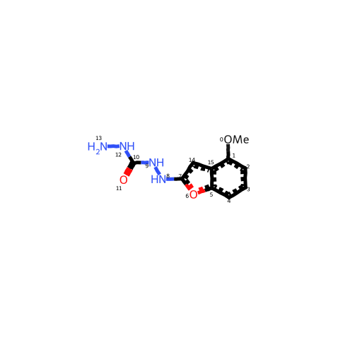 COc1cccc2oc(NNC(=O)NN)cc12